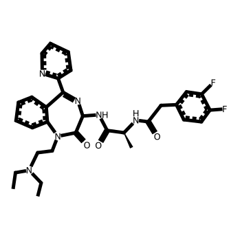 CCN(CC)CCN1C(=O)C(NC(=O)[C@H](C)NC(=O)Cc2ccc(F)c(F)c2)N=C(c2ccccn2)c2ccccc21